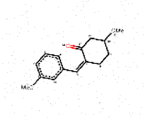 COc1cccc(/C=C2/CCC(OC)CC2=O)c1